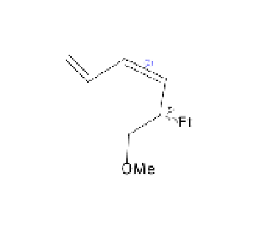 C=C/C=C\[C@H](CC)COC